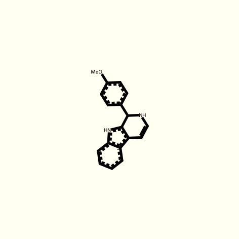 COc1ccc(C2NC=Cc3c2[nH]c2ccccc32)cc1